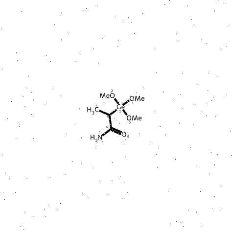 C[O][Ge]([O]C)([O]C)[CH](C)C(N)=O